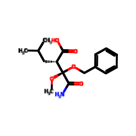 CO[C@@](OCc1ccccc1)(C(N)=O)[C@H](CC(C)C)C(=O)O